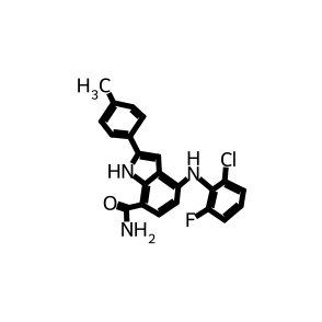 Cc1ccc(-c2cc3c(Nc4c(F)cccc4Cl)ccc(C(N)=O)c3[nH]2)cc1